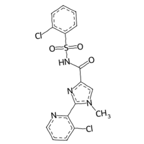 Cn1cc(C(=O)NS(=O)(=O)c2ccccc2Cl)nc1-c1ncccc1Cl